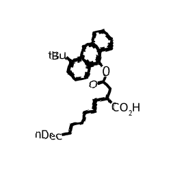 CCCCCCCCCCCCCCC=CC(CC(=O)Oc1c2ccccc2cc2c(C(C)(C)C)cccc12)C(=O)O